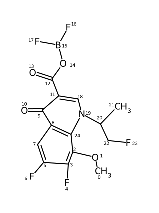 COc1c(F)c(F)cc2c(=O)c(C(=O)OB(F)F)cn(C(C)CF)c12